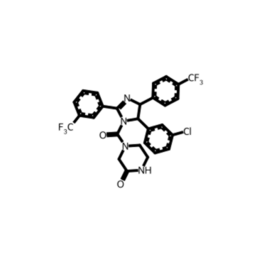 O=C1CN(C(=O)N2C(c3cccc(C(F)(F)F)c3)=NC(c3ccc(C(F)(F)F)cc3)C2c2cccc(Cl)c2)CCN1